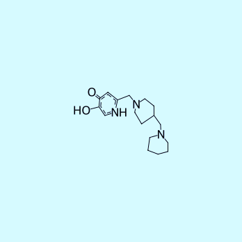 O=c1cc(CN2CCC(CN3CCCCC3)CC2)[nH]cc1O